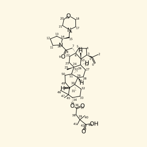 C=C(C)[C@@H]1CC[C@]2(CC(=O)N3CCC[C@H]3CN3CCOCC3)CC[C@]3(C)[C@H](CC[C@@H]4[C@@]5(C)CC[C@H](OC(=O)CC(C)(C)C(=O)O)C(C)(C)[C@@H]5CC[C@]43C)[C@@H]12